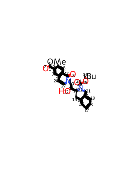 COC(=O)c1ccc2c(=O)n(C[C@@H](O)[C@@H]3Cc4ccccc4CN3C(=O)OC(C)(C)C)ccc2c1